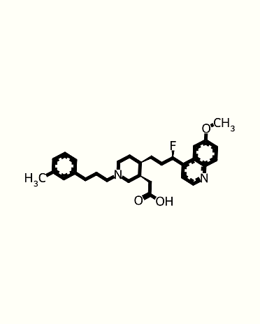 COc1ccc2nccc([C@H](F)CC[C@@H]3CCN(CCCc4cccc(C)c4)C[C@@H]3CC(=O)O)c2c1